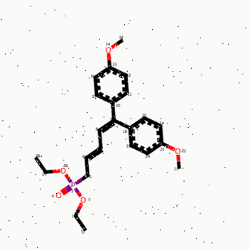 CCOP(=O)(C/C=C/C=C(c1ccc(OC)cc1)c1ccc(OC)cc1)OCC